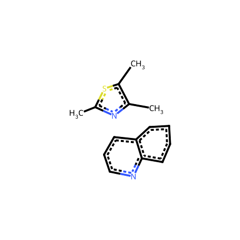 Cc1nc(C)c(C)s1.c1ccc2ncccc2c1